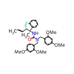 C/C=C/[C@H](F)[C@](C)(NC(=O)N(Cc1ccc(OC)cc1OC)Cc1ccc(OC)cc1OC)c1ccccc1F